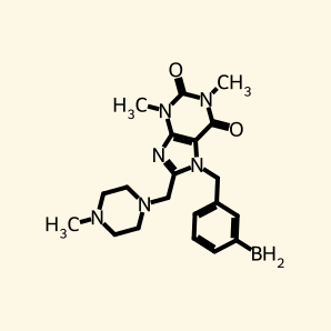 Bc1cccc(Cn2c(CN3CCN(C)CC3)nc3c2c(=O)n(C)c(=O)n3C)c1